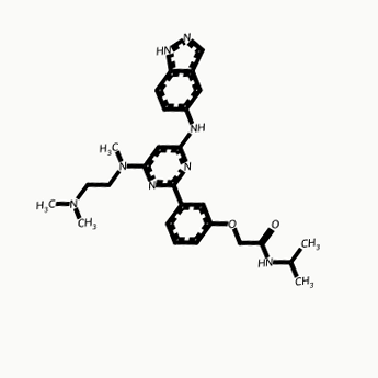 CC(C)NC(=O)COc1cccc(-c2nc(Nc3ccc4[nH]ncc4c3)cc(N(C)CCN(C)C)n2)c1